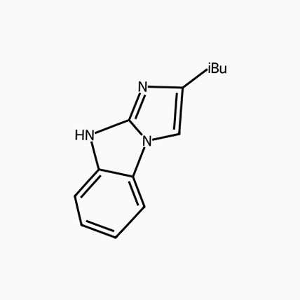 CCC(C)c1cn2c(n1)[nH]c1ccccc12